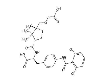 CC1(C)[C@@H](C(=O)N[C@@H](Cc2ccc(NC(=O)c3c(Cl)cccc3Cl)cc2)C(=O)O)CC[C@@]1(C)COCC(=O)O